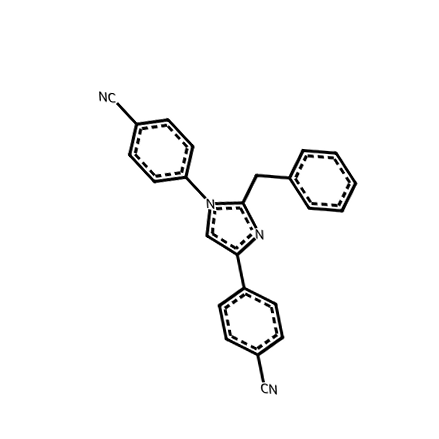 N#Cc1ccc(-c2cn(-c3ccc(C#N)cc3)c(Cc3ccccc3)n2)cc1